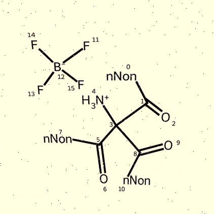 CCCCCCCCCC(=O)C([NH3+])(C(=O)CCCCCCCCC)C(=O)CCCCCCCCC.F[B-](F)(F)F